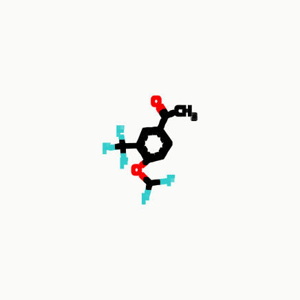 CC(=O)c1ccc(OC(F)F)c(C(F)(F)F)c1